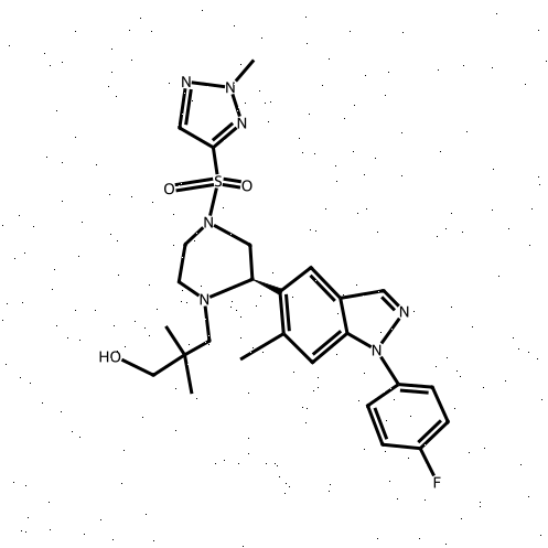 Cc1cc2c(cnn2-c2ccc(F)cc2)cc1[C@@H]1CN(S(=O)(=O)c2cnn(C)n2)CCN1CC(C)(C)CO